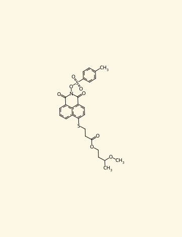 COC(C)CCOC(=O)CCSc1ccc2c3c(cccc13)C(=O)N(OS(=O)(=O)c1ccc(C)cc1)C2=O